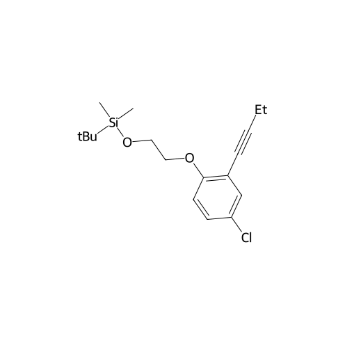 CCC#Cc1cc(Cl)ccc1OCCO[Si](C)(C)C(C)(C)C